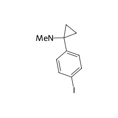 CNC1(c2ccc(I)cc2)CC1